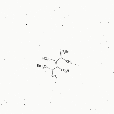 CCOC(=O)[C@@H](C)/C(C(=O)O)=C(\C(=O)O)[C@H](C)C(=O)OCC